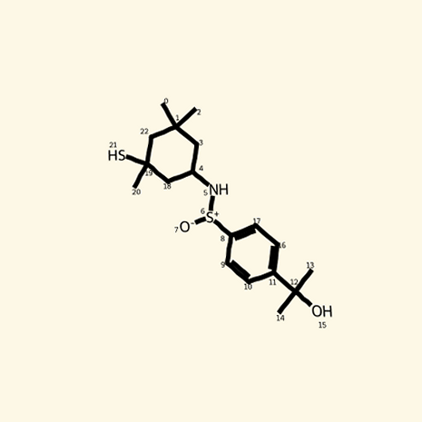 CC1(C)CC(N[S+]([O-])c2ccc(C(C)(C)O)cc2)CC(C)(S)C1